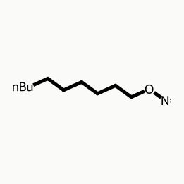 CCCCCCCCCCO[N]